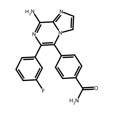 NC(=O)c1ccc(-c2c(-c3cccc(F)c3)nc(N)c3nccn23)cc1